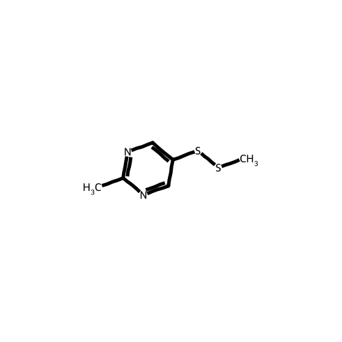 CSSc1cnc(C)nc1